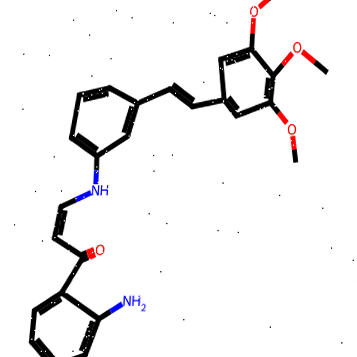 COc1cc(C=Cc2cccc(N/C=C\C(=O)c3ccccc3N)c2)cc(OC)c1OC